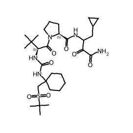 CC(C)(C)[C@H](NC(=O)NC1(CS(=O)(=O)C(C)(C)C)CCCCC1)C(=O)N1CCC[C@H]1C(=O)NC(CC1CC1)C(=O)C(N)=O